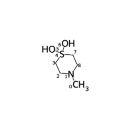 CN1CCS(O)(O)CC1